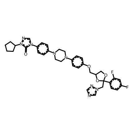 O=c1n(-c2ccc(N3CCN(c4ccc(OCC5COC(Cn6cncn6)(c6ccc(F)cc6F)O5)cc4)CC3)cc2)cnn1C1CCCC1